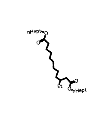 CCCCCCCOC(=O)CCCCCCCCC(CC)CC(=O)OCCCCCCC